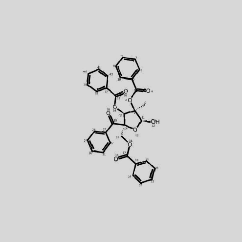 C[C@]1(OC(=O)c2ccccc2)[C@@H](O)O[C@@](COC(=O)c2ccccc2)(C(=O)c2ccccc2)[C@H]1OC(=O)c1ccccc1